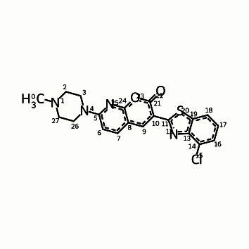 CN1CCN(c2ccc3cc(-c4nc5c(Cl)cccc5s4)c(=O)oc3n2)CC1